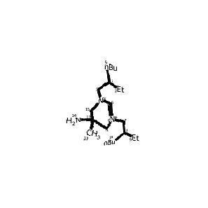 CCCCC(CC)CN1C=[N+](CC(CC)CCCC)CC(C)(N)C1